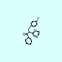 O=C(c1ccccc1)C(Cc1ccc(F)cc1)c1cnccn1